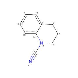 N#CN1CCCc2ccccc21